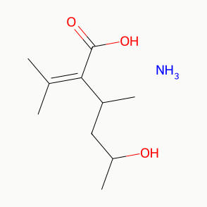 CC(C)=C(C(=O)O)C(C)CC(C)O.N